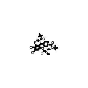 CCN(CC)C(=O)Oc1cc(Cl)c(Cl)c(F)c1[C@H](N[S@@+]([O-])C(C)(C)C)C1CCN(C(=O)OC(C)(C)C)CC1